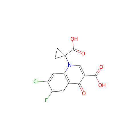 O=C(O)c1cn(C2(C(=O)O)CC2)c2cc(Cl)c(F)cc2c1=O